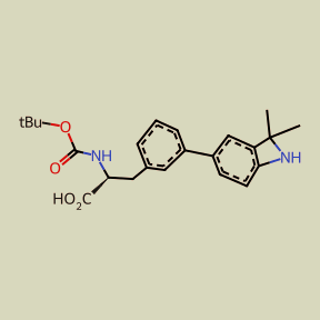 CC(C)(C)OC(=O)N[C@@H](Cc1cccc(-c2ccc3c(c2)C(C)(C)N3)c1)C(=O)O